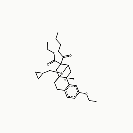 CCCCC(=O)C1(C(=O)OCC)CC2C3Cc4ccc(OCC)cc4[C@@]2(C)CC1N3CC1CC1